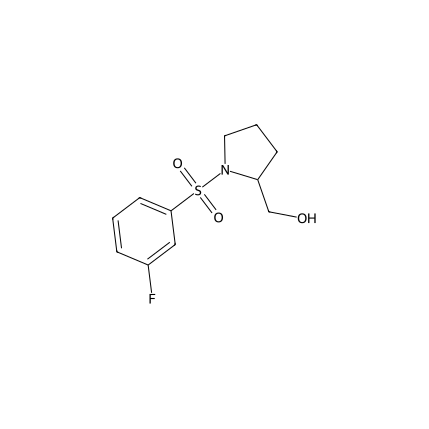 O=S(=O)(c1cccc(F)c1)N1CCCC1CO